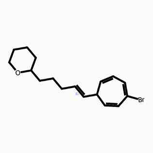 BrC1=CC=CC(/C=C/CCCC2CCCCO2)C=C1